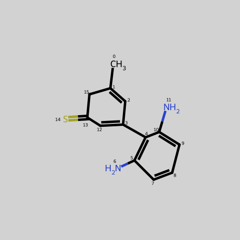 CC1=CC(c2c(N)cccc2N)=CC(=S)C1